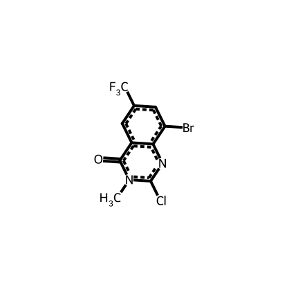 Cn1c(Cl)nc2c(Br)cc(C(F)(F)F)cc2c1=O